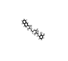 C[C@H](COC(=O)Nc1cc2ccccc2cn1)CN(C)C(=O)NCc1cccc(F)c1Cl